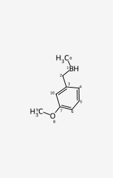 CBCc1cccc(OC)c1